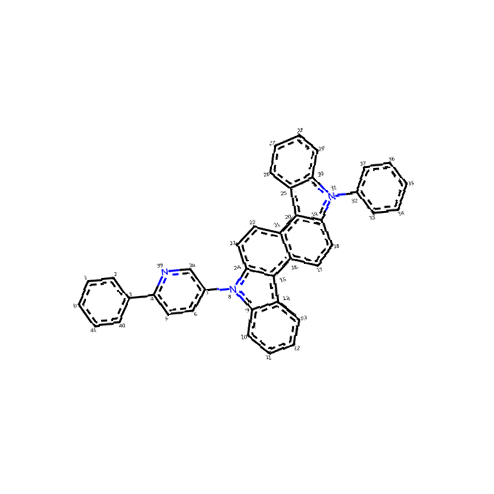 c1ccc(-c2ccc(-n3c4ccccc4c4c5ccc6c(c5ccc43)c3ccccc3n6-c3ccccc3)cn2)cc1